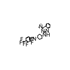 CN(C)c1nc(N[C@H]2CC[C@@H](NCc3ccc(C(F)(F)F)c(F)c3F)CC2)nc2ccccc12